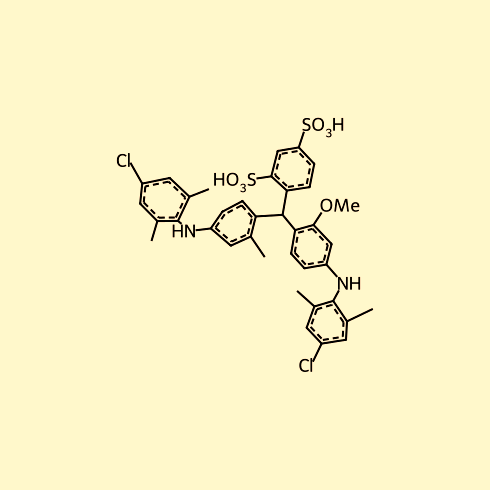 COc1cc(Nc2c(C)cc(Cl)cc2C)ccc1C(c1ccc(Nc2c(C)cc(Cl)cc2C)cc1C)c1ccc(S(=O)(=O)O)cc1S(=O)(=O)O